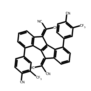 N#CC(C#N)=C1C2=C(C(=C(C#N)C#N)c3cccc(-c4ccc(C#N)c(C(F)(F)F)c4)c32)c2c1cccc2-c1ccc(C#N)c(C(F)(F)F)c1